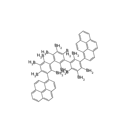 Bc1c(B)c(-c2c(B)c(B)c(B)c(-c3ccc4ccc5cccc6ccc3c4c56)c2B)c(B)c(-c2c(B)c(B)c(B)c(-c3ccc4ccc5cccc6ccc3c4c56)c2B)c1B